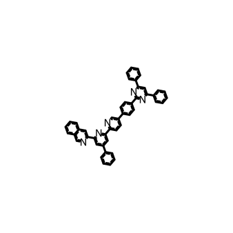 c1ccc(-c2cc(-c3ccc(-c4ccc(-c5nc(-c6ccccc6)cc(-c6ccccc6)n5)cc4)cn3)nc(-c3cc4ccccc4cn3)c2)cc1